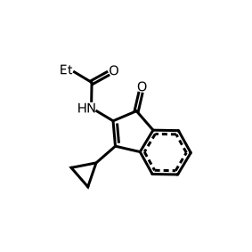 CCC(=O)NC1=C(C2CC2)c2ccccc2C1=O